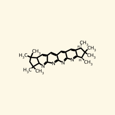 C[C@H]1c2cc3cc4cc5c(nc4nc3nc2[C@H](C)C1(C)C)=NC1C(C=5)C(C)(C)CC1(C)C